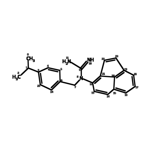 CC(C)c1ccc(CN(C(=N)N)c2ccc3cccc4c3c2C=C4)cc1